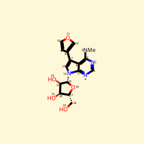 CNc1ncnc2c1c(-c1ccoc1)cn2[C@@H]1O[C@H](CO)[C@@H](O)[C@H]1O